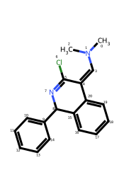 CN(C)C=C1C(Cl)=NC(c2ccccc2)c2ccccc21